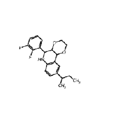 CCC(C)c1ccc2c(c1)C1OCCOC1C(c1cccc(F)c1F)N2